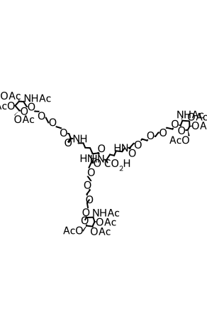 CC(=O)N[C@H]1[C@H](OCCOCCOCCOCC(=O)NCCCCC(NC(=O)COCCOCCOCCO[C@@H]2O[C@H](COC(C)=O)[C@H](OC(C)=O)[C@H](OC(C)=O)[C@H]2NC(C)=O)C(=O)NC(CCCCNC(=O)COCCOCCOCCO[C@@H]2O[C@H](COC(C)=O)[C@H](OC(C)=O)C(OC(C)=O)[C@H]2NC(C)=O)C(=O)O)O[C@H](COC(C)=O)[C@H](OC(C)=O)[C@@H]1OC(C)=O